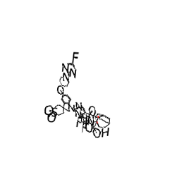 O=C(NC1(C(=O)O)C2CCC3CC(C2)CC1C3)c1cnc(N2CC3(CCS(=O)(=O)CC3)c3cc(OC4CCN(c5ncc(F)cn5)CC4)ccc32)nc1C(F)(F)F